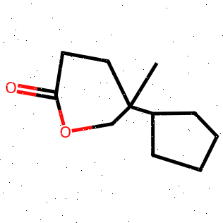 CC1(C2CCCC2)CCC(=O)OC1